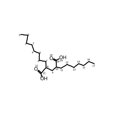 CCCCCCCCC(CC(CCCCCCC)C(=O)O)C(=O)O